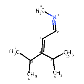 C/N=C\C=C(C(C)C)C(C)C